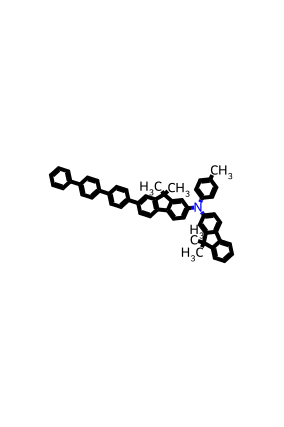 Cc1ccc(N(c2ccc3c(c2)C(C)(C)c2ccccc2-3)c2ccc3c(c2)C(C)(C)c2cc(-c4ccc(-c5ccc(-c6ccccc6)cc5)cc4)ccc2-3)cc1